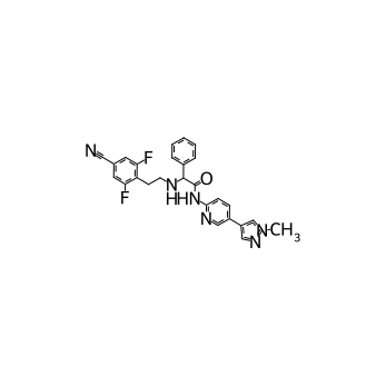 Cn1cc(-c2ccc(NC(=O)C(NCCc3c(F)cc(C#N)cc3F)c3ccccc3)nc2)cn1